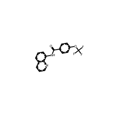 O=C(Nc1cccc2cccnc12)c1ccc(OC(F)(F)F)cc1